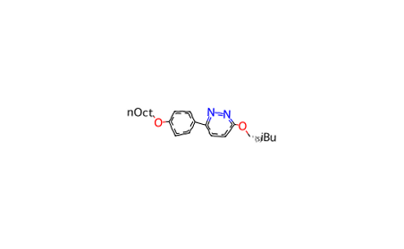 CCCCCCCCOc1ccc(-c2ccc(OC[C@@H](C)CC)nn2)cc1